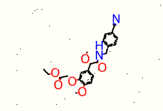 CCOC(=O)COc1cc(C(OC)C(=O)NCc2ccc(C#N)cc2)ccc1OC